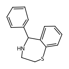 c1ccc(C2NCCSc3ccccc32)cc1